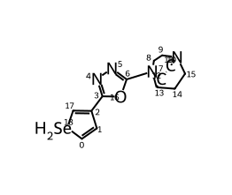 C1=CC(c2nnc(N3CCN4CCC3CC4)o2)=C[SeH2]1